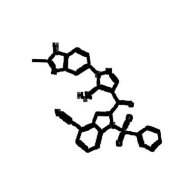 Cc1nc2cc(-n3ncc(C(=O)c4cc5c(C#N)cccc5n4S(=O)(=O)c4ccccc4)c3N)ccc2[nH]1